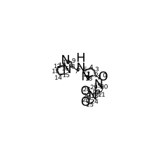 O=C(c1ccc(NCc2cnc3ccccn23)nc1)N1CC[C@H](N2CCOC2=O)C1